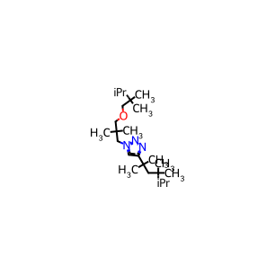 CC(C)C(C)(C)COCC(C)(C)Cn1cc(C(C)(C)CC(C)(C)C(C)C)nn1